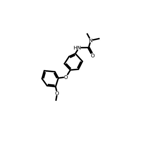 COc1ccccc1Oc1ccc(NC(=O)N(C)C)cc1